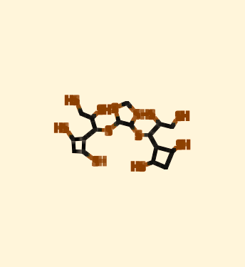 SCC(S)C(SC1SCSC1SC(C(S)CS)C1C(S)CC1S)C1C(S)CC1S